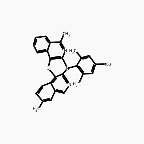 Cc1ccc2c3c(ncc2c1)N(c1c(C)cc(C(C)(C)C)cc1C)c1nc(C)c2ccccc2c1O3